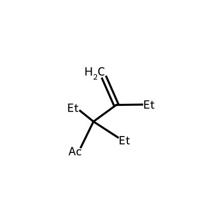 C=C(CC)C(CC)(CC)C(C)=O